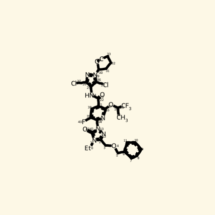 CCn1c(COCc2ccccc2)nn(-c2nc(OC(C)C(F)(F)F)c(C(=O)Nc3c(Cl)nn(C4CCCCO4)c3Cl)cc2F)c1=O